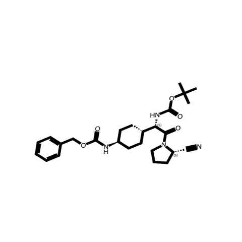 CC(C)(C)OC(=O)N[C@H](C(=O)N1CCC[C@H]1C#N)[C@H]1CC[C@H](NC(=O)OCc2ccccc2)CC1